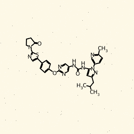 Cc1ccc(-n2nc(CC(C)C)cc2NC(=O)Nc2cnc(Oc3ccc(-c4cnc(N5CCCC5=O)s4)cc3)nc2)cn1